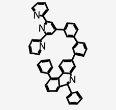 c1ccc(-c2nc3cc(-c4cccc(-c5cccc(-c6cc(-c7ccccn7)nc(-c7ccccn7)c6)c5)c4)ccc3c3c(-c4ccccc4)cccc23)cc1